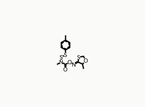 Cc1ccc(SSN(C)C(=O)ON=C2SCOC2C)cc1